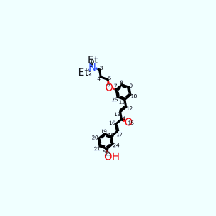 CCN(CC)CCCOc1cccc(/C=C/C(=O)/C=C/c2cccc(O)c2)c1